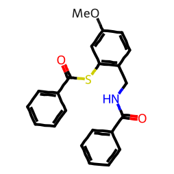 COc1ccc(CNC(=O)c2ccccc2)c(SC(=O)c2ccccc2)c1